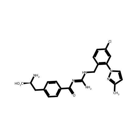 Cc1ccn(-c2cc(Cl)ccc2CN/C(N)=N/C(=O)c2ccc(C[C@H](N)C(=O)O)cc2)n1